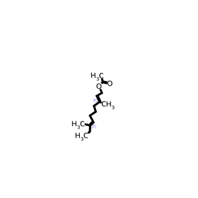 CC/C(C)=C/CCC/C(C)=C/COC(C)=O